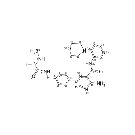 BN[C@@H](C)C(=O)NCc1ccc(-c2cnc(N)c(C(=O)Nc3cnccc3N3CCOCC3)n2)cc1